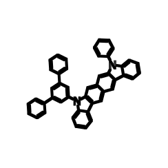 c1ccc(-c2cc(-c3ccccc3)cc(-n3c4ccccc4c4cc5cc6c7ccccc7n(-c7ccccc7)c6cc5cc43)c2)cc1